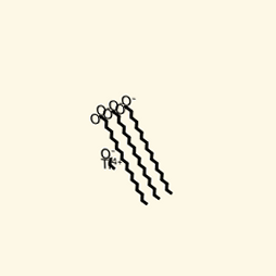 CCCCCCCCCCCCCCCCCC(=O)[O-].CCCCCCCCCCCCCCCCCC(=O)[O-].CCCCCCCCCCCCCCCCCC(=O)[O-].CCC[O-].[Ti+4]